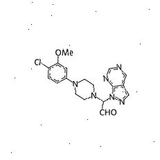 COc1cc(N2CCN(C(C=O)n3ncc4cncnc43)CC2)ccc1Cl